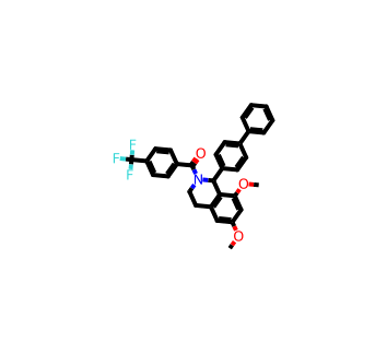 COc1cc2c(c(OC)c1)C(c1ccc(-c3ccccc3)cc1)N(C(=O)c1ccc(C(F)(F)F)cc1)CC2